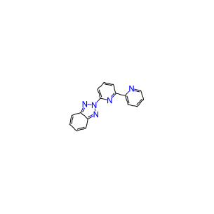 c1ccc(-c2cccc(-n3nc4ccccc4n3)n2)nc1